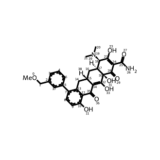 COCc1cccc(-c2ccc(O)c3c2C[C@@H]2C[C@H]4[C@@H](N(C)C)C(O)=C(C(N)=O)C(=O)[C@]4(O)C(O)=C2C3=O)c1